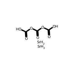 O=C(O)OC(=O)OC(=O)O.[SrH2].[SrH2]